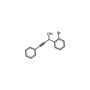 OC(C#Cc1ccccc1)c1ccccc1Br